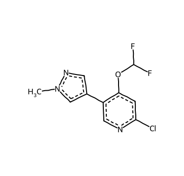 Cn1cc(-c2cnc(Cl)cc2OC(F)F)cn1